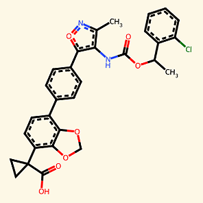 Cc1noc(-c2ccc(-c3ccc(C4(C(=O)O)CC4)c4c3OCO4)cc2)c1NC(=O)OC(C)c1ccccc1Cl